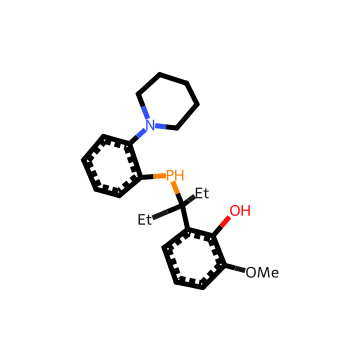 CCC(CC)(Pc1ccccc1N1CCCCC1)c1cccc(OC)c1O